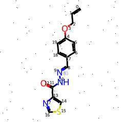 C=CCOc1ccc(/C=N/NC(=O)c2cscn2)cc1